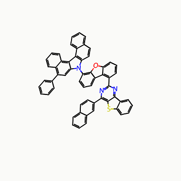 c1ccc(-c2cc3c(c4ccccc24)c2c4ccccc4ccc2n3-c2cccc3c2oc2cccc(-c4nc(-c5ccc6ccccc6c5)c5sc6ccccc6c5n4)c23)cc1